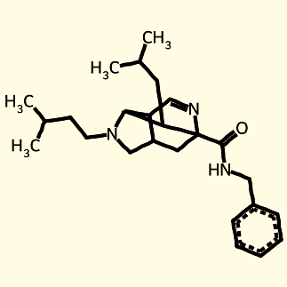 CC(C)CCN1CC2CC3(C(=O)NCc4ccccc4)N=CC2C1C3CC(C)C